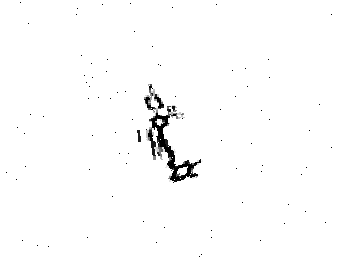 CCN(CC)c1cc2c(/C=C/c3ccc(C)c(C)c3)n[nH]c2cc1N1CCN(C)CC1